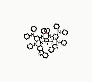 c1ccc(N(c2ccccc2)c2cc3c4c(c2)N(c2ccccc2)c2c(sc5c2N(c2ccccc2)c2cc(N(c6ccccc6)c6ccccc6)cc6c2B5c2c(sc5ccccc25)N6c2ccccc2)B4c2cc4c(cc2N3c2ccccc2)sc2ccccc24)cc1